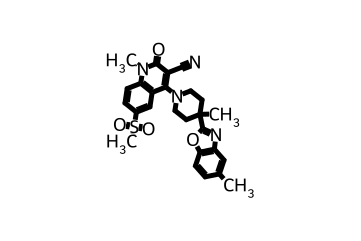 Cc1ccc2oc(C3(C)CCN(c4c(C#N)c(=O)n(C)c5ccc(S(C)(=O)=O)cc45)CC3)nc2c1